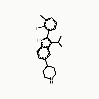 Cc1nccc(-c2[nH]c3ccc(C4CCNCC4)cc3c2C(C)C)c1F